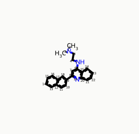 CN(C)CCNc1cc(-c2ccc3ccccc3c2)nc2ccccc12